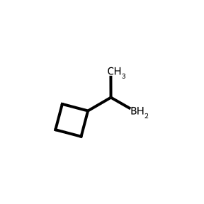 BC(C)C1CCC1